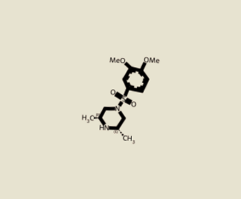 COc1ccc(S(=O)(=O)N2C[C@@H](C)N[C@@H](C)C2)cc1OC